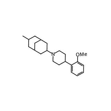 COc1ccccc1C1CCN(C2CC3CC(C)CC(C3)C2)CC1